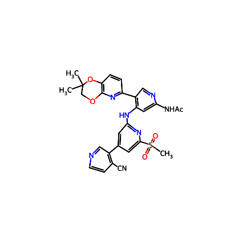 CC(=O)Nc1cc(Nc2cc(-c3cnccc3C#N)cc(S(C)(=O)=O)n2)c(-c2ccc3c(n2)OCC(C)(C)O3)cn1